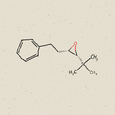 C[Si](C)(C)[C@H]1O[C@H]1CCc1ccccc1